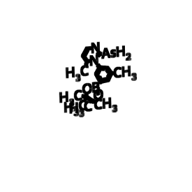 Cc1cc(B2OC(C)(C)C(C)(C)O2)cc(N2C([AsH2])=NC=CC2C)c1